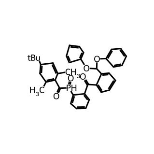 Cc1cc(C(C)(C)C)cc(C)c1C(=O)[PH](=O)c1ccccc1C(=O)c1ccccc1C(Oc1ccccc1)Oc1ccccc1